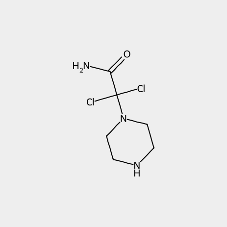 NC(=O)C(Cl)(Cl)N1CCNCC1